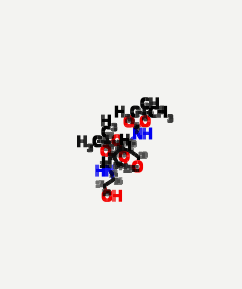 CC(C)(C)OC(=O)NCC12COC(O1)[C@H](NCCO)[C@H]1OC(C)(C)O[C@H]12